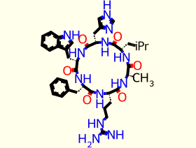 CC(C)C[C@@H]1NC(=O)[C@H](C)NC(=O)[C@H](CCCNC(=N)N)NC(=O)[C@H](Cc2ccccc2)NC(=O)[C@H](Cc2c[nH]c3ccccc23)NC(=O)[C@H](Cc2c[nH]cn2)NC1=O